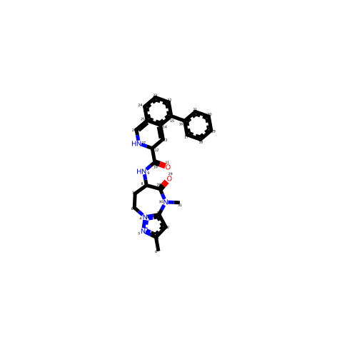 Cc1cc2n(n1)CCC(NC(=O)C1C=c3c(-c4ccccc4)cccc3=CN1)C(=O)N2C